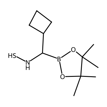 CC1(C)OB(C(NS)C2CCC2)OC1(C)C